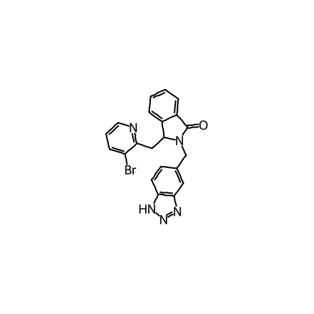 O=C1c2ccccc2C(Cc2ncccc2Br)N1Cc1ccc2[nH]nnc2c1